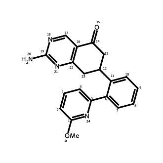 COc1cccc(-c2ccccc2C2CC(=O)c3cnc(N)nc3C2)n1